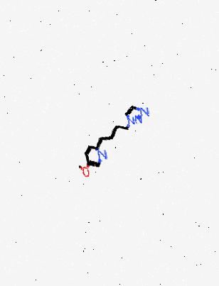 COc1ccc(CCCCn2ccnn2)nc1